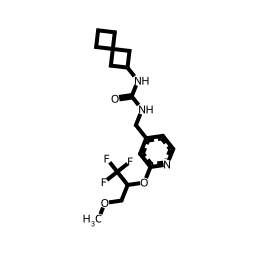 COCC(Oc1cc(CNC(=O)NC2CC3(CCC3)C2)ccn1)C(F)(F)F